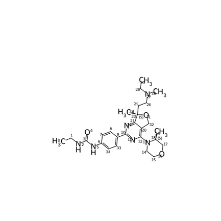 CCNC(=O)Nc1ccc(-c2nc(N3CCOC[C@@H]3C)c3c(n2)[C@](C)(CCN(C)CC)OC3)cc1